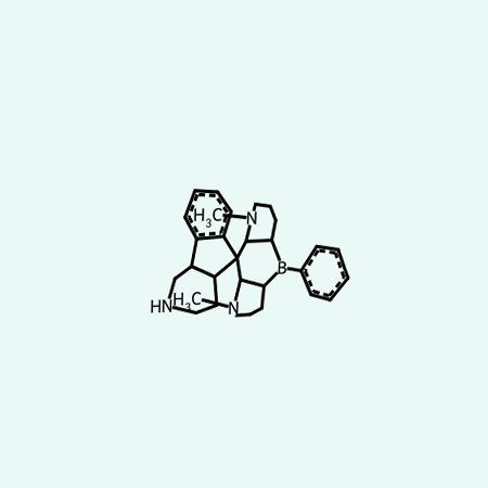 CN1CCCC2B(c3ccccc3)C3CCCN(C)C3C3(c4ccccc4C4CNCCC43)C21